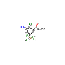 COC(=O)c1cc(S(F)(F)(F)(F)F)cc(N)c1Cl